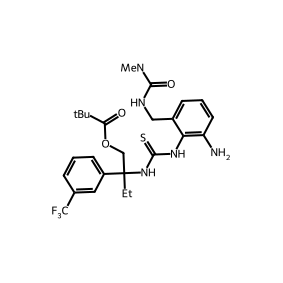 CCC(COC(=O)C(C)(C)C)(NC(=S)Nc1c(N)cccc1CNC(=O)NC)c1cccc(C(F)(F)F)c1